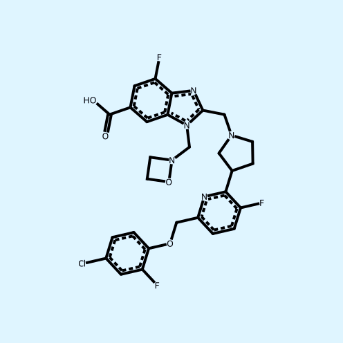 O=C(O)c1cc(F)c2nc(CN3CCC(c4nc(COc5ccc(Cl)cc5F)ccc4F)C3)n(CN3CCO3)c2c1